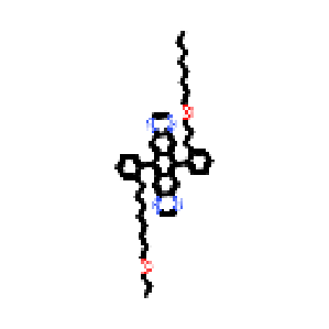 CCCCCCCCOCCCc1ccccc1-c1c2cc3nccnc3cc2c(-c2ccccc2CCCCCCCCOCCC)c2cc3nccnc3cc12